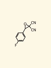 N#CC1(C#N)OC1c1ccc(F)cc1